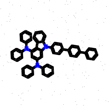 c1ccc(-c2ccc(-c3ccc(-n4c5ccccc5c5c(N(c6ccccc6)c6ccccc6)cc(N(c6ccccc6)c6ccccc6)cc54)cc3)cc2)cc1